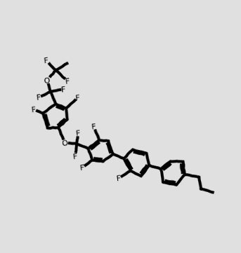 CCCc1ccc(-c2ccc(-c3cc(F)c(C(F)(F)Oc4cc(F)c(C(F)(F)OC(C)(F)F)c(F)c4)c(F)c3)c(F)c2)cc1